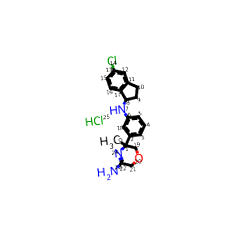 CC1(c2cccc(NC3CCc4cc(Cl)ccc43)c2)COCC(N)=N1.Cl